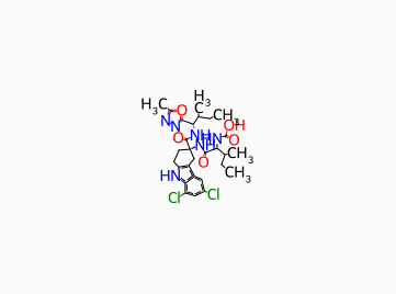 CCC(C)[C@H](NC(=O)O)C(=O)N[C@]1(C(=O)N[C@H](c2nnc(C)o2)C(C)CC)CCc2[nH]c3c(Cl)cc(Cl)cc3c2C1